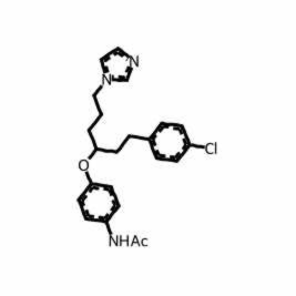 CC(=O)Nc1ccc(OC(CCCn2ccnc2)CCc2ccc(Cl)cc2)cc1